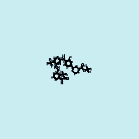 Cc1cc(C2CCCN(C(=O)OC(C)(C)C)C2)ccc1Nc1ncc(C(F)(F)F)c(NCc2cccc3c2C(C)(C)C(=O)N3)n1